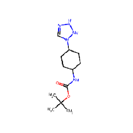 CC(C)(C)OC(=O)NC1CCC(N2C=NNN2)CC1